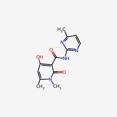 Cc1ccnc(NC(=O)c2c(O)cc(C)n(C)c2=O)n1